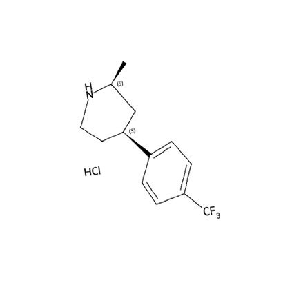 C[C@H]1C[C@@H](c2ccc(C(F)(F)F)cc2)CCN1.Cl